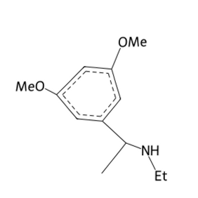 CCNC(C)c1cc(OC)cc(OC)c1